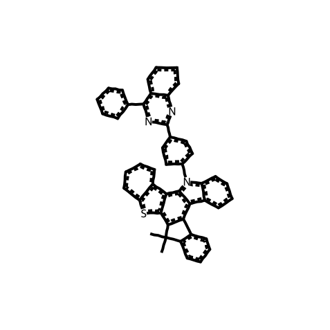 CC1(C)c2ccccc2-c2c1c1sc3ccccc3c1c1c2c2ccccc2n1-c1ccc(-c2nc(-c3ccccc3)c3ccccc3n2)cc1